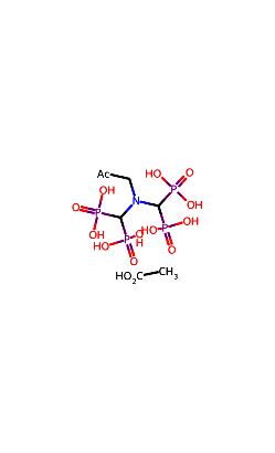 CC(=O)CN(C(P(=O)(O)O)P(=O)(O)O)C(P(=O)(O)O)P(=O)(O)O.CC(=O)O